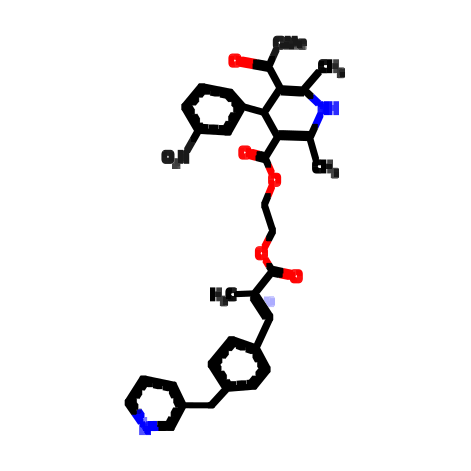 COC(=O)C1=C(C)NC(C)=C(C(=O)OCCOC(=O)/C(C)=C/c2ccc(Cc3cccnc3)cc2)C1c1cccc([N+](=O)[O-])c1